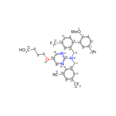 COc1ccc(C(C)C)cc1-c1ccc(C(F)(F)F)cc1CN(Cc1cc(C#N)cc(C(F)(F)F)c1)c1ncc(OCCCC(=O)O)cn1